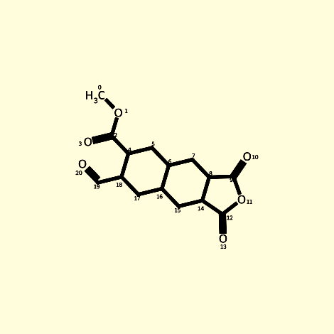 COC(=O)C1CC2CC3C(=O)OC(=O)C3CC2CC1C=O